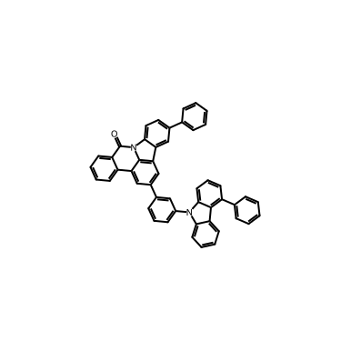 O=c1c2ccccc2c2cc(-c3cccc(-n4c5ccccc5c5c(-c6ccccc6)cccc54)c3)cc3c4cc(-c5ccccc5)ccc4n1c23